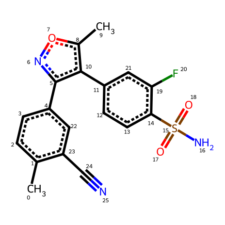 Cc1ccc(-c2noc(C)c2-c2ccc(S(N)(=O)=O)c(F)c2)cc1C#N